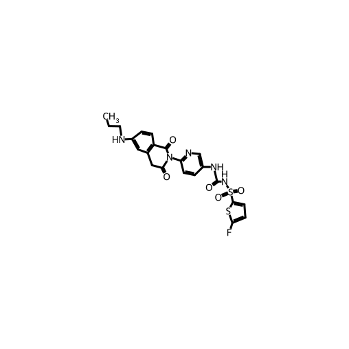 CCCNc1ccc2c(c1)CC(=O)N(c1ccc(NC(=O)NS(=O)(=O)c3ccc(F)s3)cn1)C2=O